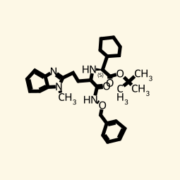 Cn1c(CCC(N[C@H](C(=O)OC(C)(C)C)C2CCCCC2)C(=O)NOCc2ccccc2)nc2ccccc21